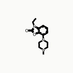 CCn1c(=O)oc2c(N3CCN(C)CC3)cccc21